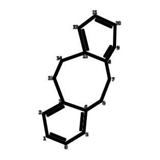 c1ccc2c(c1)CCc1ccccc1CC2